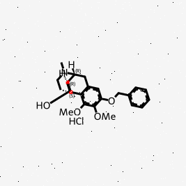 COc1c(OCc2ccccc2)cc2c(c1OC)[C@]13CCN(C)[C@H](C2)[C@@H]1CCC(O)C3.Cl